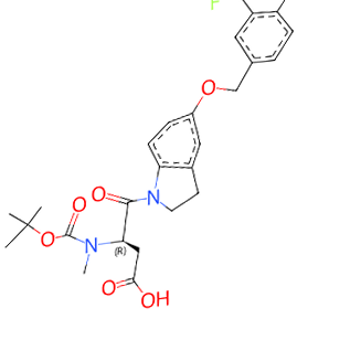 CN(C(=O)OC(C)(C)C)[C@H](CC(=O)O)C(=O)N1CCc2cc(OCc3ccc(C4CC4)c(C(F)(F)F)c3)ccc21